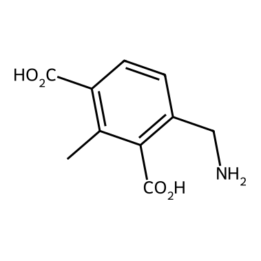 Cc1c(C(=O)O)ccc(CN)c1C(=O)O